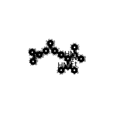 CCN1C(c2ccccc2)CC(c2ccccc2)NC1c1cc(C2=NC(c3ccccc3)CC(c3ccccc3)N2)cc(-c2ccc(-c3ccc(N(c4ccccc4)c4ccc(-c5ccc6c(c5)c5ccccc5n6-c5ccccc5)cc4)cc3)cc2)c1